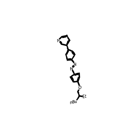 CCCCC(CC)COc1ccc(N=Nc2ccc(-c3cccnc3)cc2)cc1